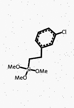 CO[Si](CCc1cccc(Cl)c1)(OC)OC